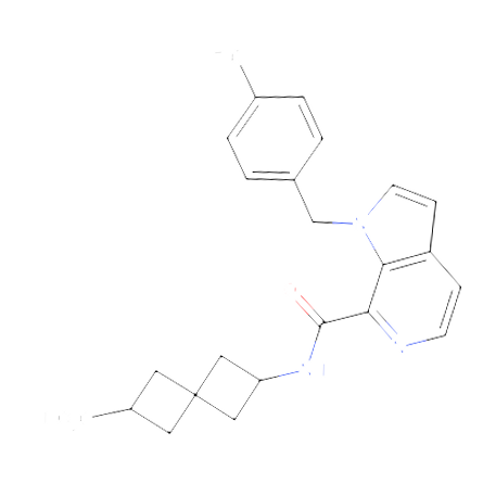 O=C(NC1CC2(C1)CC(C(=O)O)C2)c1nccc2ccn(Cc3ccc(C(F)(F)F)cc3)c12